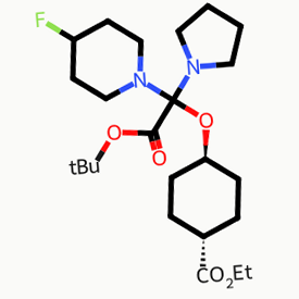 CCOC(=O)[C@H]1CC[C@H](OC(C(=O)OC(C)(C)C)(N2CCCC2)N2CCC(F)CC2)CC1